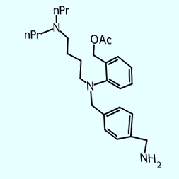 CCCN(CCC)CCCCN(Cc1ccc(CN)cc1)c1ccccc1COC(C)=O